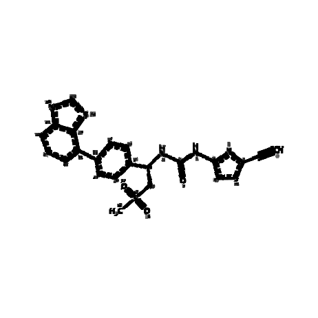 C#Cc1nc(NC(=O)N[C@@H](CS(C)(=O)=O)c2ccc(-c3cccc4ncsc34)cc2)cs1